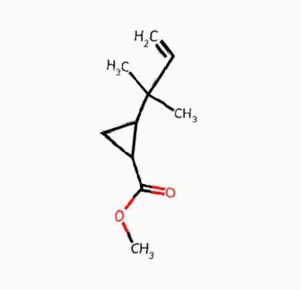 C=CC(C)(C)C1CC1C(=O)OC